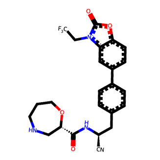 N#C[C@H](Cc1ccc(-c2ccc3oc(=O)n(CC(F)(F)F)c3c2)cc1)NC(=O)[C@@H]1CNCCCO1